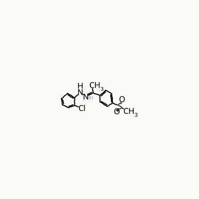 C/C(=N\Nc1ccccc1Cl)c1ccc(S(C)(=O)=O)cc1